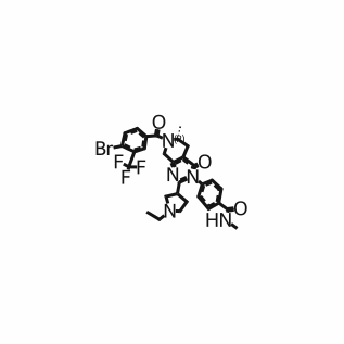 CCN1CCC(c2nc3c(c(=O)n2-c2ccc(C(=O)NC)cc2)C[C@@H](C)N(C(=O)c2ccc(Br)c(C(F)(F)F)c2)C3)C1